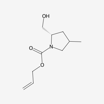 C=CCOC(=O)N1CC(C)C[C@H]1CO